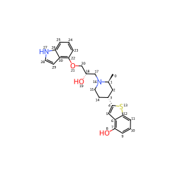 C[C@H]1C[C@H](c2cc3c(O)cccc3s2)CCN1C[C@H](O)COc1cccc2[nH]ccc12